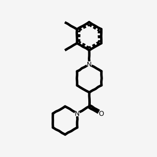 Cc1cccc(N2CCC(C(=O)N3CCCCC3)CC2)c1C